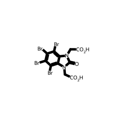 O=C(O)Cn1c(=O)n(CC(=O)O)c2c(Br)c(Br)c(Br)c(Br)c21